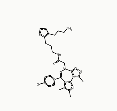 Cc1sc2c(c1C)C(c1ccc(Cl)cc1)=N[C@@H](CC(=O)NCCCc1sccc1CCCN)c1nnc(C)n1-2